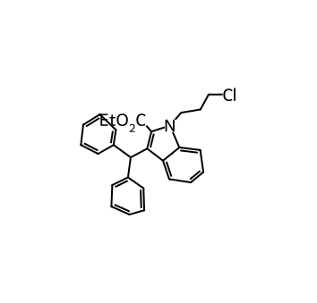 CCOC(=O)c1c(C(c2ccccc2)c2ccccc2)c2ccccc2n1CCCCl